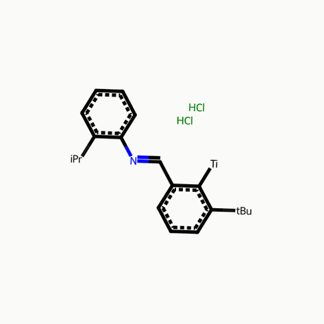 CC(C)c1ccccc1N=Cc1cccc(C(C)(C)C)[c]1[Ti].Cl.Cl